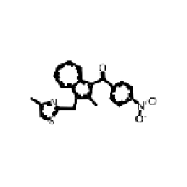 Cc1csc(Cc2c3cccccc-3c(C(=O)c3ccc([N+](=O)[O-])cc3)c2C)n1